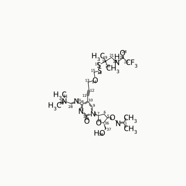 CC(C)=NOC1C[C@H](n2cc(C#CCOCSSC(C)(C)CNC(=O)C(F)(F)F)c(/N=C/N(C)C)nc2=O)O[C@@H]1CO